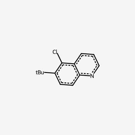 CC(C)(C)c1ccc2ncccc2c1Cl